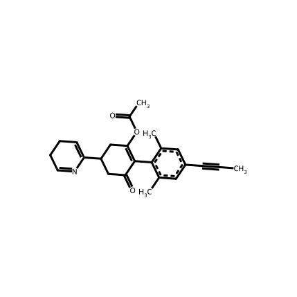 CC#Cc1cc(C)c(C2=C(OC(C)=O)CC(C3=CCCC=N3)CC2=O)c(C)c1